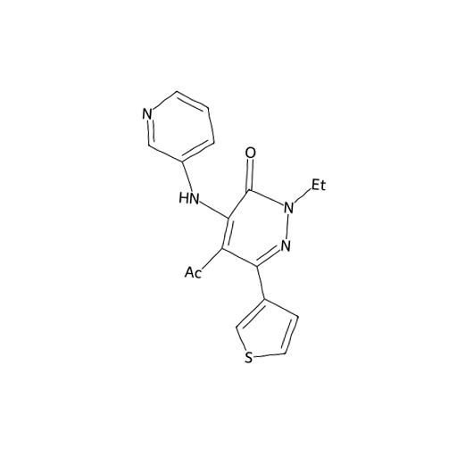 CCn1nc(-c2ccsc2)c(C(C)=O)c(Nc2cccnc2)c1=O